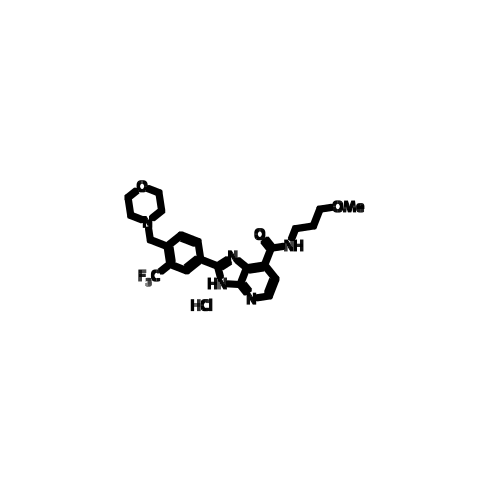 COCCCNC(=O)c1ccnc2[nH]c(-c3ccc(CN4CCOCC4)c(C(F)(F)F)c3)nc12.Cl